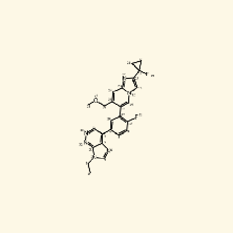 CCn1cnc2c(-c3ccc(F)c(-c4cn5cc(C6(F)CC6)nc5cc4COC)c3)cnnc21